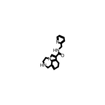 O=C(NCc1ccccn1)c1cn2c3c1CCC=C3CNCC2